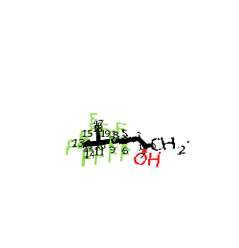 [CH2]C(O)CC(F)(F)C(F)(F)C(F)(C(F)(F)F)C(F)(F)F